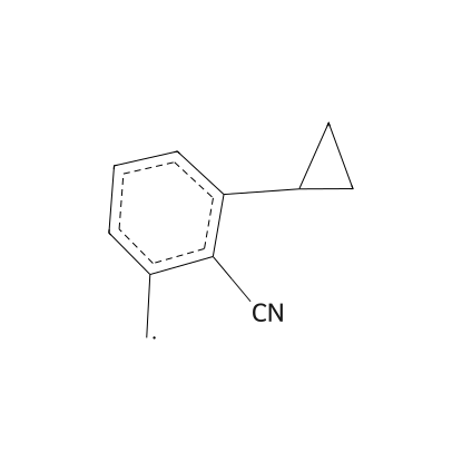 [CH2]c1cccc(C2CC2)c1C#N